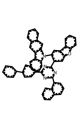 c1ccc(-c2ccc(-c3nc(-c4cc5oc6ccccc6c5cc4-n4c5ccccc5c5cc6ccccc6cc54)nc(-c4cccc5ccccc45)n3)cc2)cc1